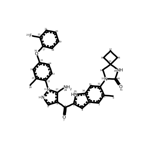 Cc1cc2cc(C(=O)c3cnn(-c4ccc(Oc5ccccc5F)cc4C)c3N)[nH]c2cc1N1CC2(CCC2)NC1=O